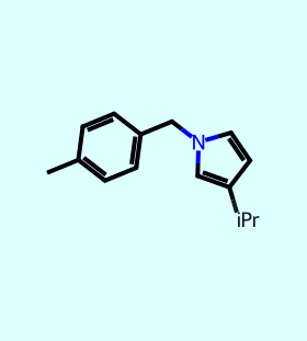 Cc1ccc(Cn2ccc(C(C)C)c2)cc1